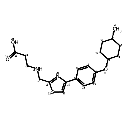 C[C@H]1CC[C@@H](Oc2ccc(-c3csc(CNCCC(=O)O)n3)cc2)CC1